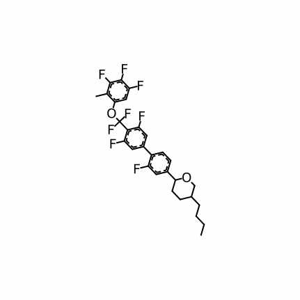 CCCCC1CCC(c2ccc(-c3cc(F)c(C(F)(F)Oc4cc(F)c(F)c(F)c4C)c(F)c3)c(F)c2)OC1